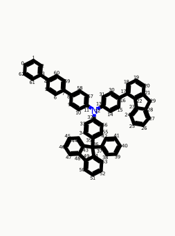 c1ccc(-c2ccc(-c3ccc(N(c4ccc(-c5cccc6c5-c5ccccc5C6)cc4)c4ccc(C5(c6ccccc6)c6ccccc6-c6ccccc65)cc4)cc3)cc2)cc1